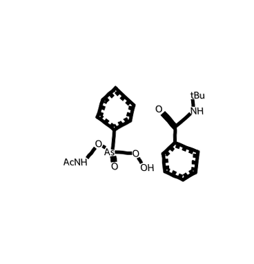 CC(=O)NO[As](=O)(OO)c1ccccc1.CC(C)(C)NC(=O)c1ccccc1